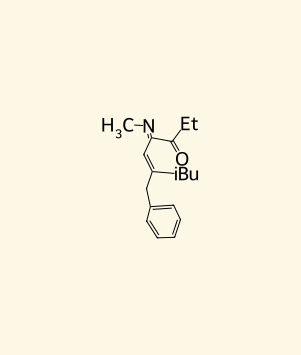 CCC(=O)C(/C=C(/Cc1ccccc1)C(C)CC)=N/C